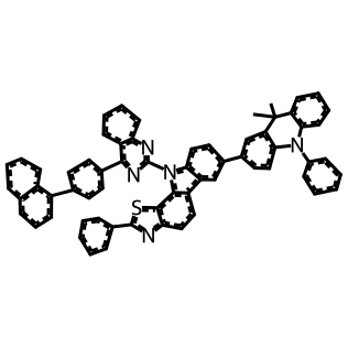 CC1(C)c2ccccc2N(c2ccccc2)c2ccc(-c3ccc4c(c3)c3ccc5nc(-c6ccccc6)sc5c3n4-c3nc(-c4ccc(-c5cccc6ccccc56)cc4)c4ccccc4n3)cc21